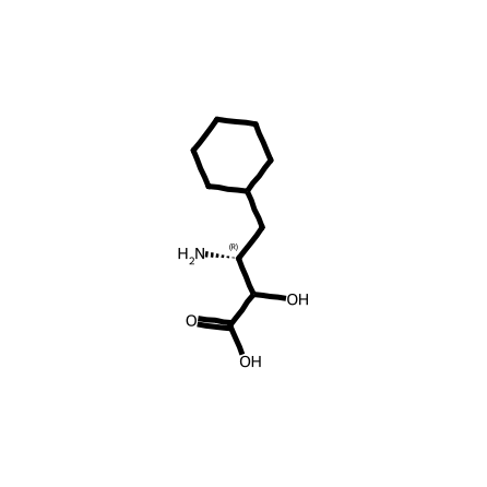 N[C@H](CC1CCCCC1)C(O)C(=O)O